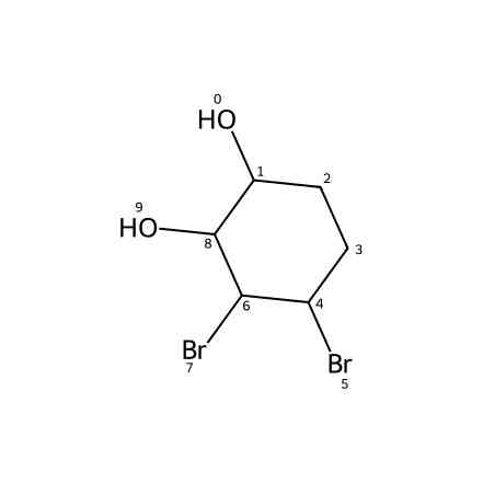 OC1CCC(Br)C(Br)C1O